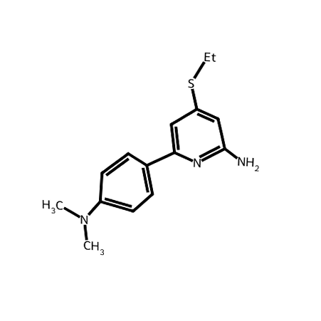 CCSc1cc(N)nc(-c2ccc(N(C)C)cc2)c1